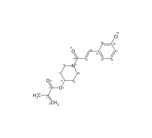 C=C(C)C(=O)OC1CCN(C(=O)/C=C/c2cccc(Cl)c2)CC1